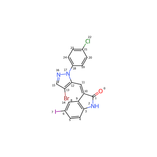 O=C1Nc2ccc(I)cc2C1=Cc1c(Br)cnn1-c1ccc(Cl)cc1